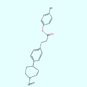 CCCCCC1CCC(c2ccc(CCC(=O)Oc3ccc(CCC)cc3)cc2)CC1